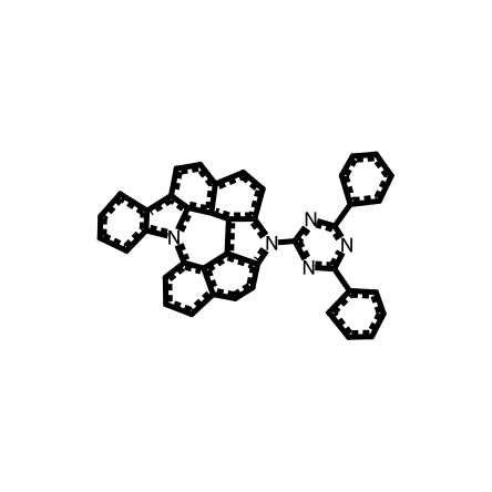 c1ccc(-c2nc(-c3ccccc3)nc(-n3c4ccc5cccc6c5c4c4c5c(ccc7c8ccccc8n6c75)ccc43)n2)cc1